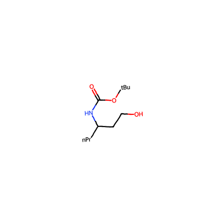 CCCC(CCO)NC(=O)OC(C)(C)C